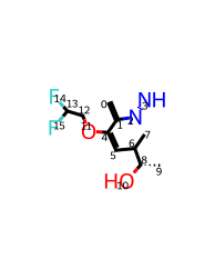 C=C(N=N)/C(=C\C(C)[C@H](C)O)OCC(F)F